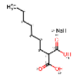 CCCCCCCC(C(=O)O)C(=O)O.[NaH]